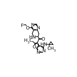 Cc1oc2ncnc(NC3(C)CC3)c2c1C(=O)C1Cc2ncnc(OCF)c2CN1